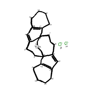 C1=C2CC[C]34[Ti+2][C]2(CCC3=CC2=C4CCCC2)C2=C1CCCC2.[Cl-].[Cl-]